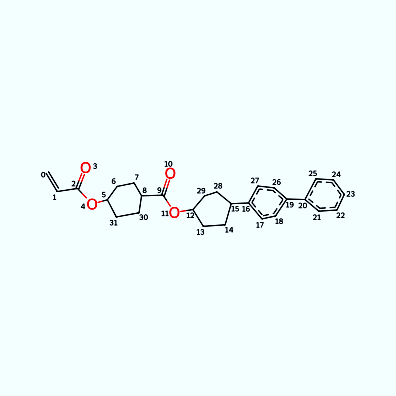 C=CC(=O)OC1CCC(C(=O)OC2CCC(c3ccc(-c4ccccc4)cc3)CC2)CC1